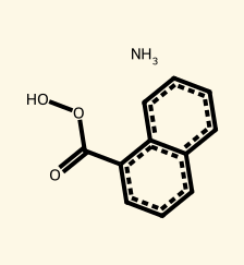 N.O=C(OO)c1cccc2ccccc12